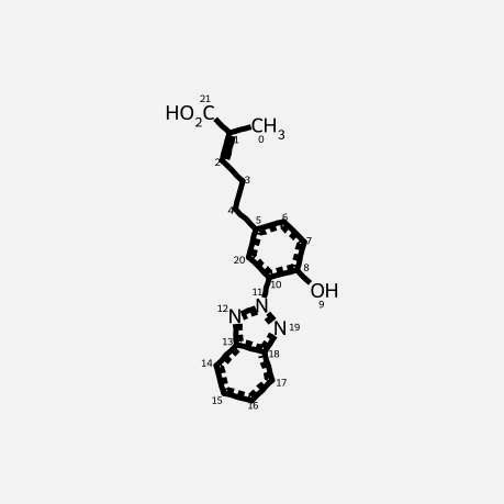 CC(=CCCc1ccc(O)c(-n2nc3ccccc3n2)c1)C(=O)O